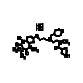 CCN1C(=O)C(C)(C)C(=O)N(C)c2cc(OCCCN(CCN(C)C(=O)c3cc[nH]c3)Cc3ccncc3)ccc21.Cl.Cl